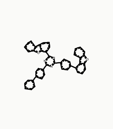 c1ccc(-c2ccc(-c3nc(-c4ccc(-c5cccc6oc7ccccc7c56)cc4)nc(-c4cccc5c4oc4ccccc45)n3)cc2)cc1